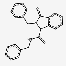 O=C(NCc1ccccc1)C1c2ccccc2C(=O)N1Cc1ccccc1